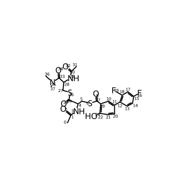 CC(=O)NC(CSC(=O)c1cc(-c2ccc(F)cc2F)ccc1O)C(=O)SCC(NC(C)=O)C(=O)N(C)C